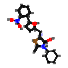 C=c1s/c(=C\c2ccc(-c3ccccc3[N+](=O)[O-])o2)c(=O)n1C1CCCCC1